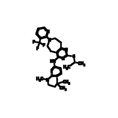 CC(C)Sc1nc2c(c(Nc3ccc4c(c3)N(C)CCC4(C)C)n1)CCN(c1ncccc1C(F)(F)F)CC2